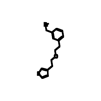 BrCc1cccc(CCOCCc2ccsc2)c1